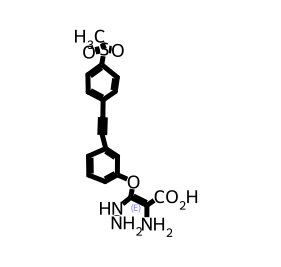 CS(=O)(=O)c1ccc(C#Cc2cccc(O/C(NN)=C(/N)C(=O)O)c2)cc1